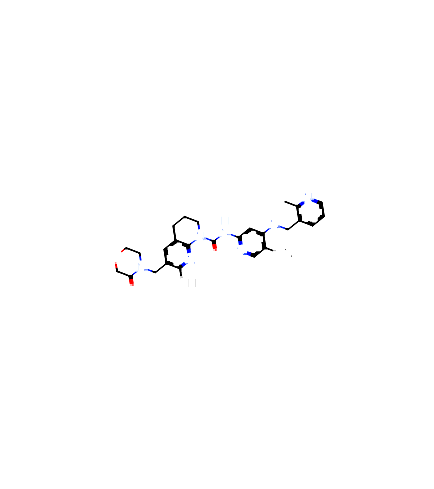 Cc1ncccc1CNc1cc(NC(=O)N2CCCc3cc(CN4CCOCC4=O)c(C=O)nc32)ncc1C#N